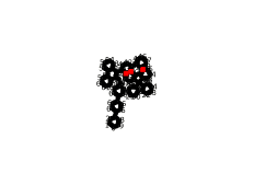 c1ccc(-c2ccc(-c3ccc(N(c4ccc5c(c4)C(c4ccccc4)(c4ccccc4)c4ccccc4-5)c4c(-c5ccc(-c6ccccc6)cc5)c5ccccc5c5ccccc45)cc3)cc2)cc1